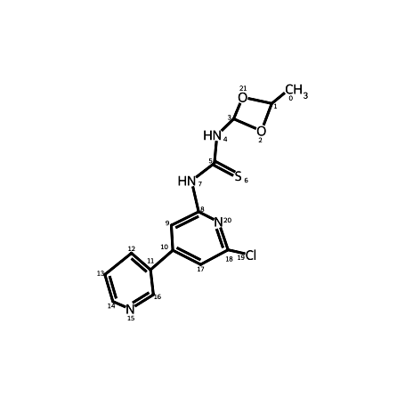 CC1OC(NC(=S)Nc2cc(-c3cccnc3)cc(Cl)n2)O1